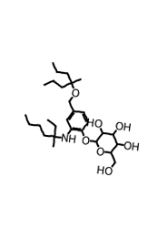 CCCCC(C)(CC)Nc1cc(COC(C)(CCC)CCC)ccc1OC1OC(CO)C(O)C(O)C1O